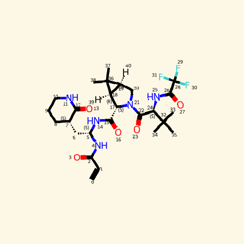 C=CC(=O)N[C@H](C[C@@H]1CCCNC1=O)NC(=O)[C@@H]1[C@@H]2[C@H](CN1C(=O)[C@@H](NC(=O)C(F)(F)F)C(C)(C)C)C2(C)C